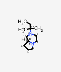 CCC(C)(C)N1CCN2CCC[C@H]2C1